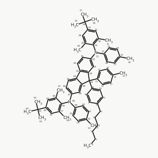 CCCCCCc1ccc(C2(c3ccc(C)cc3)c3cc(N(c4ccc(C)cc4)c4c(C)cc(C(C)(C)C)cc4C)ccc3-c3ccc(N(c4ccc(C)cc4)c4c(C)cc(C(C)(C)C)cc4C)cc32)cc1